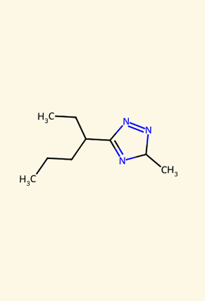 CCCC(CC)C1=NC(C)N=N1